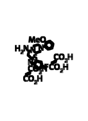 COc1ccccc1N1CCN(C(N)Cc2nc3ccc(F)cc3s2)CC1.O=C(O)C=CC(=O)O.O=C(O)C=CC(=O)O